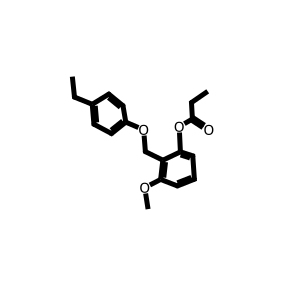 CCC(=O)Oc1cccc(OC)c1COc1ccc(CC)cc1